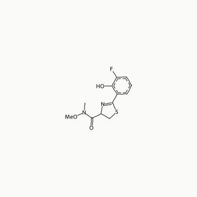 CON(C)C(=O)C1CSC(c2cccc(F)c2O)=N1